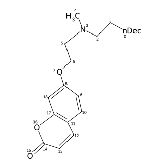 CCCCCCCCCCCCN(C)CCOc1ccc2ccc(=O)oc2c1